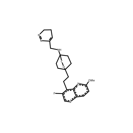 COc1ccc2ncc(F)c(CCC34CCC(NCC5=CCCN=N5)(CC3)CO4)c2n1